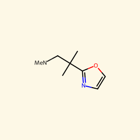 CNCC(C)(C)c1ncco1